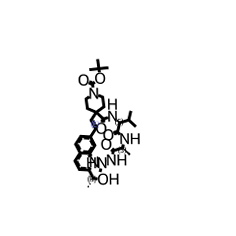 CNNC(=O)[C@H](C)NC(=O)[C@@H](NC(=O)C1(/C=C/c2ccc3ccc([C@@H](C)O)nc3c2)CCN(C(=O)OC(C)(C)C)CC1)C(C)C